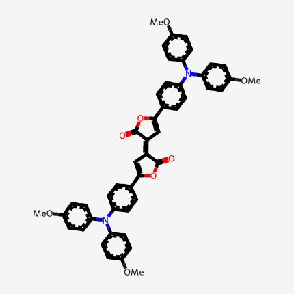 COc1ccc(N(c2ccc(OC)cc2)c2ccc(C3=C/C(=C4/C=C(c5ccc(N(c6ccc(OC)cc6)c6ccc(OC)cc6)cc5)OC4=O)C(=O)O3)cc2)cc1